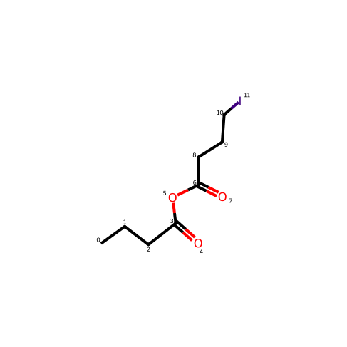 CCCC(=O)OC(=O)CCCI